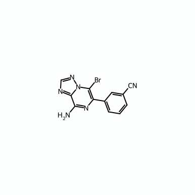 N#Cc1cccc(-c2nc(N)c3ncnn3c2Br)c1